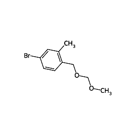 COCOCc1ccc(Br)cc1C